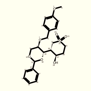 COc1ccc(CO[C@@H]2COC(c3ccccc3)O[C@H]2[C@@H]2CS(=O)(=O)CC[C@H]2O)cc1